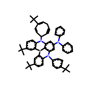 CC(C)(C)C1=C/CC#CC(N2c3ccc(C(C)(C)C)cc3B3c4cc(C(C)(C)C)ccc4N(c4ccc(C(C)(C)C)cc4)c4cc(N(c5ccccc5)c5ccccc5)cc2c43)/C=C\1